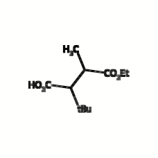 CCOC(=O)C(C)C(C(=O)O)C(C)(C)C